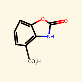 O=C(O)c1cccc2oc(=O)[nH]c12